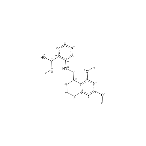 COc1cc2c(c(OC)c1)C(CNc1cnccc1C(O)OC)CCC2